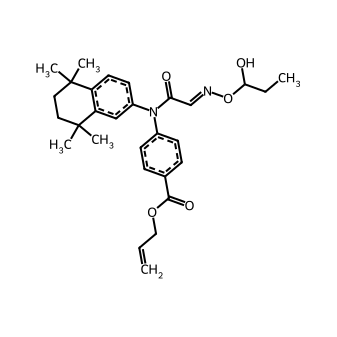 C=CCOC(=O)c1ccc(N(C(=O)C=NOC(O)CC)c2ccc3c(c2)C(C)(C)CCC3(C)C)cc1